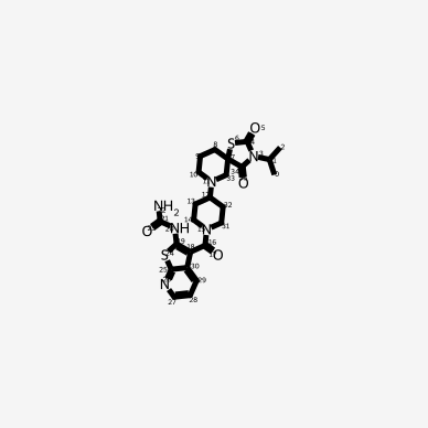 CC(C)N1C(=O)SC2(CCCN(C3CCN(C(=O)c4c(NC(N)=O)sc5ncccc45)CC3)C2)C1=O